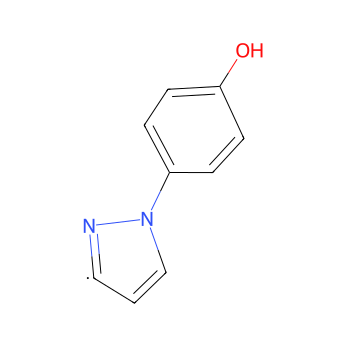 Oc1ccc(-n2cc[c]n2)cc1